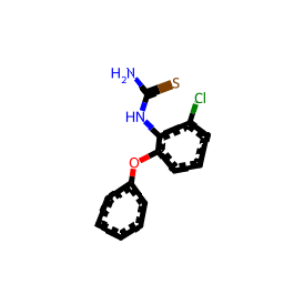 NC(=S)Nc1c(Cl)cccc1Oc1ccccc1